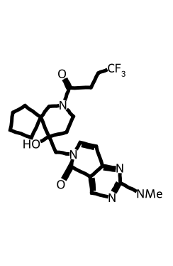 CNc1ncc2c(=O)n(CC3(O)CCN(C(=O)CCC(F)(F)F)CC34CCCC4)ccc2n1